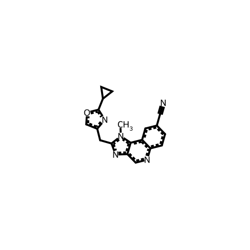 Cn1c(Cc2coc(C3CC3)n2)nc2cnc3ccc(C#N)cc3c21